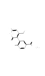 COC(=O)c1ccc(C)c(-c2c(CO)cc(C)[nH]c2=O)c1